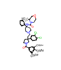 COc1cc(C(=O)N2CCC(CCN3CCC(NC(=O)N4CCOCC4C(=O)O)(c4ccccc4)CC3)(c3ccc(Cl)c(Cl)c3)C2)cc(OC)c1OC